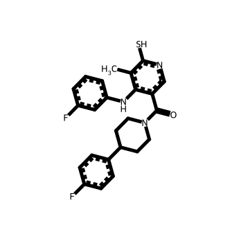 Cc1c(S)ncc(C(=O)N2CCC(c3ccc(F)cc3)CC2)c1Nc1cccc(F)c1